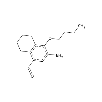 Bc1cc(C=O)c2c(c1OCCCC)CCCC2